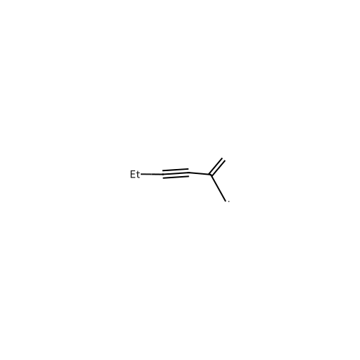 [CH2]C(=C)C#CCC